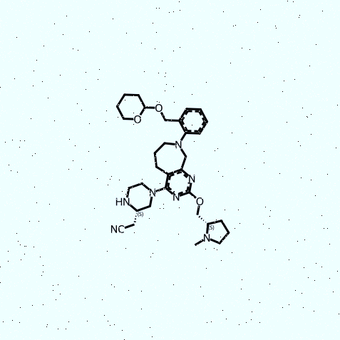 CN1CCC[C@H]1COc1nc2c(c(N3CCN[C@@H](CC#N)C3)n1)CCCN(c1ccccc1COC1CCCCO1)C2